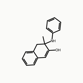 CC1(Nc2ccccc2)Cc2ccccc2C=C1O